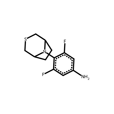 Nc1cc(F)c(N2C3CCC2CSC3)c(F)c1